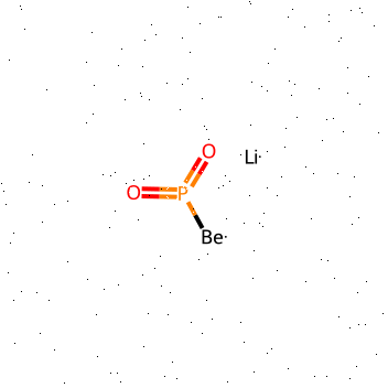 [Be][P](=O)=O.[Li]